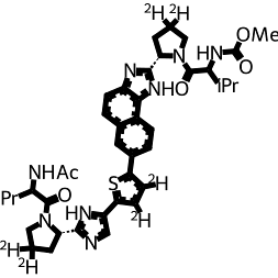 [2H]c1c(-c2ccc3c(ccc4nc([C@@H]5CC([2H])([2H])CN5C(=O)C(NC(=O)OC)C(C)C)[nH]c43)c2)sc(-c2cnc([C@@H]3CC([2H])([2H])CN3C(=O)C(NC(C)=O)C(C)C)[nH]2)c1[2H]